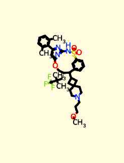 COCCCN1CCC2(CC1)CC(C1c3cccc(c3)S(=O)(=O)Nc3nc(cc(-c4c(C)cccc4C)n3)OC[C@H]1CC(C)(C)C(F)(F)F)C2